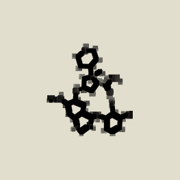 COc1cc2ncnc(Nc3cccc(Cl)c3F)c2cc1O[C@H]1C[C@@H](C(N)=O)[N+](C)(C2CCOCC2)C1